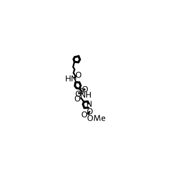 COC(=O)Oc1ccc(C(=O)NS(=O)(=O)c2ccc(NC(=O)CCCc3ccccc3)cc2)cn1